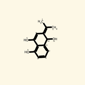 CC(C)=C1C=C(O)c2c(O)cccc2C1O